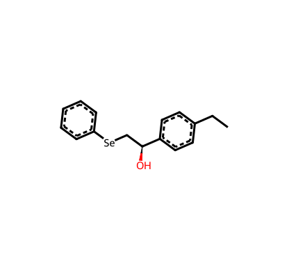 CCc1ccc([C@@H](O)C[Se]c2ccccc2)cc1